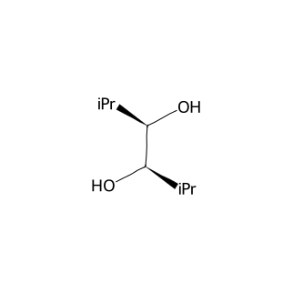 CC(C)[C@@H](O)[C@H](O)C(C)C